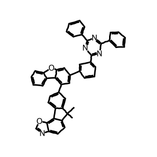 CC1(C)c2cc(-c3cc(-c4cccc(-c5nc(-c6ccccc6)nc(-c6ccccc6)n5)c4)cc4oc5ccccc5c34)ccc2-c2c1ccc1ncoc21